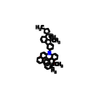 CCC1(c2cccc3c2C(C)(C)c2ccc(N(c4ccccc4-c4cccc5cccc(-c6ccccc6)c45)c4cccc5c4-c4ccccc4C5(C)C)cc2-3)CCC(C)C1